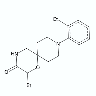 CCc1ccccc1N1CCC2(CC1)CNC(=O)C(CC)O2